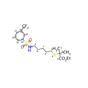 CCOC(=O)C(C)(C)SCCCCCNS(=O)(=O)c1cccc(C(F)(F)F)c1